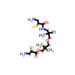 CCC(C)(CNC(=O)C(S)CN)COCC(C)(C)COC(=O)C(S)CN